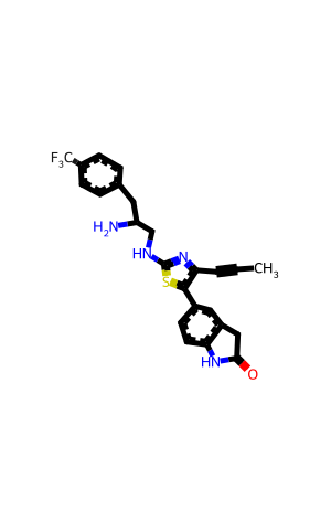 CC#Cc1nc(NCC(N)Cc2ccc(C(F)(F)F)cc2)sc1-c1ccc2c(c1)CC(=O)N2